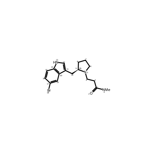 CNC(=O)CCN1CCC[C@@H]1Cc1c[nH]c2ccc(Br)cc12